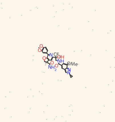 COc1cc(C(=O)NC[C@@](O)(c2cc3c(c(-c4ccc5c(c4)OCO5)n2)OC[C@]3(C)C(N)=O)C(F)(F)F)cc2cn(C3CC3)nc12